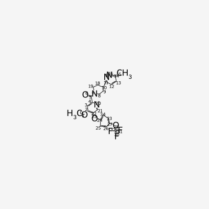 COc1cc(C(=O)N2CCC(c3ccc(C)nn3)CC2)ncc1Oc1ccc(OC(F)(F)F)cc1